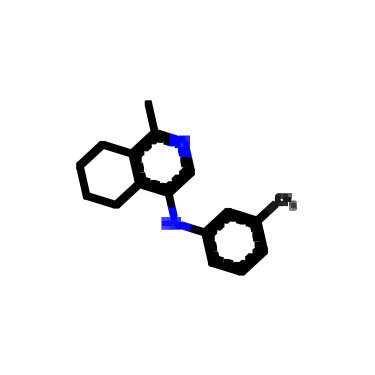 Cc1ncc(Nc2cccc(C(F)(F)F)c2)c2c1CCCC2